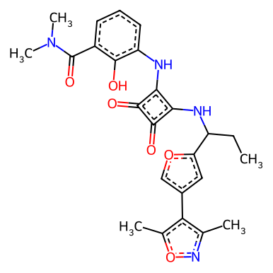 CCC(Nc1c(Nc2cccc(C(=O)N(C)C)c2O)c(=O)c1=O)c1cc(-c2c(C)noc2C)co1